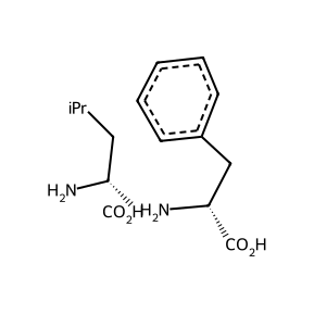 CC(C)C[C@@H](N)C(=O)O.N[C@H](Cc1ccccc1)C(=O)O